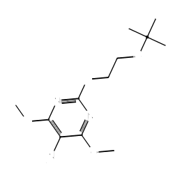 COc1nc(OCCOC(C)(C)C)nc(OC)c1N